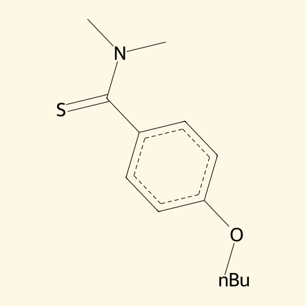 CCCCOc1ccc(C(=S)N(C)C)cc1